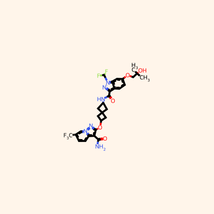 CC(C)(O)COc1ccc2c(C(=O)NC3CC4(C3)CC(Oc3nn5cc(C(F)(F)F)ccc5c3C(N)=O)C4)nn(C(F)F)c2c1